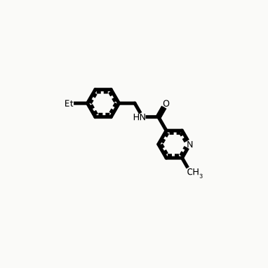 CCc1ccc(CNC(=O)c2ccc(C)nc2)cc1